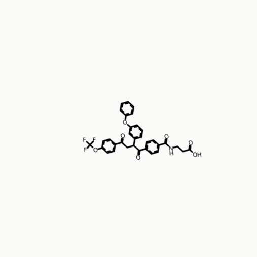 O=C(O)CCNC(=O)c1ccc(C(=O)C(CC(=O)c2ccc(OC(F)(F)F)cc2)c2cccc(Oc3ccccc3)c2)cc1